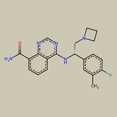 Cc1cc([C@@H](CN2CCC2)Nc2ncnc3c(C(N)=O)cccc23)ccc1F